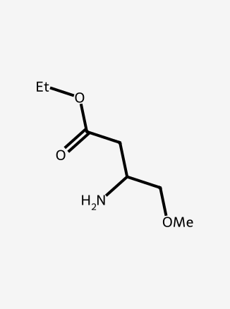 CCOC(=O)CC(N)COC